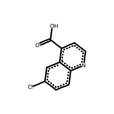 O=C(O)c1ccnc2ccc(Cl)cc12